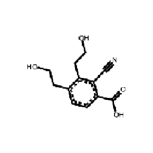 N#Cc1c(C(=O)O)ccc(CCO)c1CCO